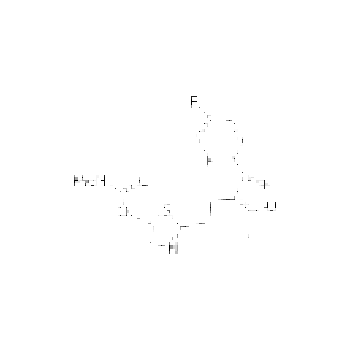 CNC(=O)Oc1cnc(CCc2c(-c3ccc(F)cn3)noc2C)s1